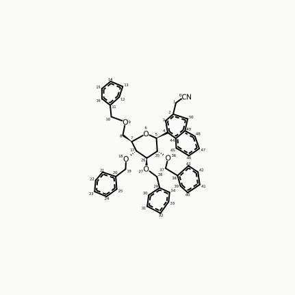 N#CCc1cc([C@@H]2O[C@H](COCc3ccccc3)[C@@H](OCc3ccccc3)[C@H](OCc3ccccc3)[C@H]2OCc2ccccc2)c2ccccc2c1